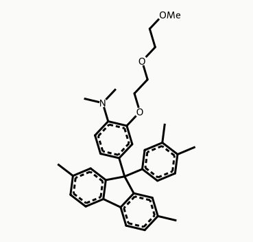 COCCOCCOc1cc(C2(c3ccc(C)c(C)c3)c3cc(C)ccc3-c3ccc(C)cc32)ccc1N(C)C